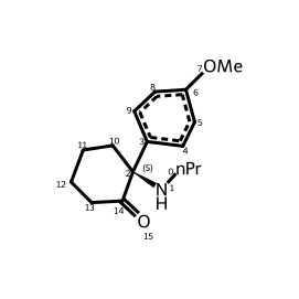 CCCN[C@]1(c2ccc(OC)cc2)CCCCC1=O